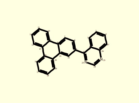 c1ccc2c(-c3ccc4c5ccccc5c5ccccc5c4c3)ncnc2c1